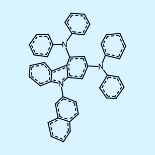 c1ccc(N(c2ccccc2)c2cc(N(c3ccccc3)c3ccccc3)c3c4ccccc4n(-c4ccc5ccccc5c4)c3c2)cc1